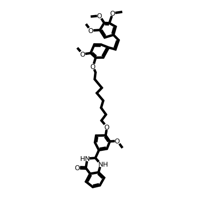 COc1cc(C2NC(=O)c3ccccc3N2)ccc1OCCCCCCCCOc1cc(/C=C\c2cc(OC)c(OC)c(OC)c2)ccc1OC